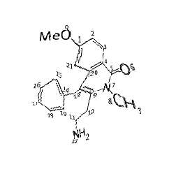 COc1ccc2c(=O)n(C)c(CCN)c(-c3ccccc3)c2c1